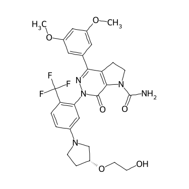 COc1cc(OC)cc(-c2nn(-c3cc(N4CC[C@@H](OCCO)C4)ccc3C(F)(F)F)c(=O)c3c2CCN3C(N)=O)c1